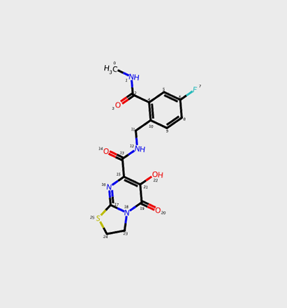 CNC(=O)c1cc(F)ccc1CNC(=O)c1nc2n(c(=O)c1O)CCS2